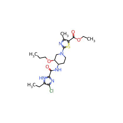 CCCO[C@H]1CN(c2nc(C)c(C(=O)OCC)s2)CC[C@H]1NC(=O)c1nc(Cl)c(CC)[nH]1